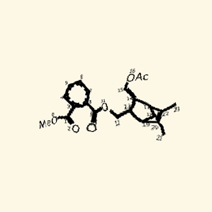 COC(=O)c1ccccc1C(=O)OCC1C(=COC(C)=O)C2CC1C(C)=C2C